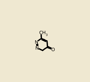 CC1=CC(=O)CN=N1